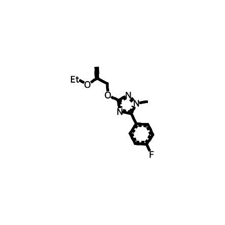 C=C(COc1nc(-c2ccc(F)cc2)n(C)n1)OCC